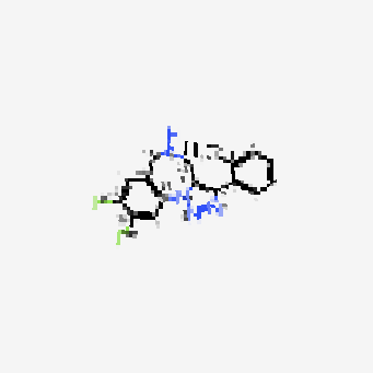 Cc1ccccc1-c1nnn2c1CNCc1cc(F)c(F)cc1-2